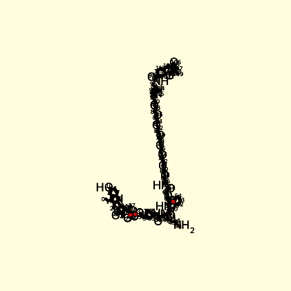 CCc1c2c(nc3ccc(O)cc13)-c1cc3c(c(=O)n1C2)COC(=O)[C@@]3(CC)OC(=O)OCc1ccc(NC(=O)[C@H](CCCCN)NC(=O)[C@H](Cc2ccccc2)NC(=O)COCC(=O)NCCOCCOCCOCCOCCOCCOCCOCCOCCn2cc(CNC(=O)C3CCC(CN4C(=O)CC(C)C4=O)CC3)nn2)cc1